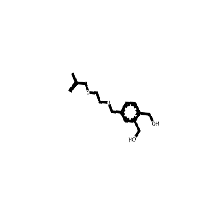 C=C(C)COCCOCc1ccc(CO)c(CO)c1